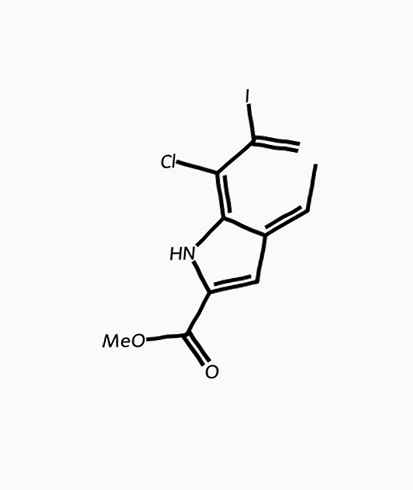 C=C(I)/C(Cl)=c1/[nH]c(C(=O)OC)c/c1=C/C